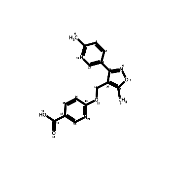 Cc1ccc(-c2noc(C)c2COc2ccc(C(=O)O)cn2)cn1